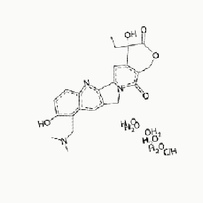 CC[C@@]1(O)C(=O)OCc2c1cc1n(c2=O)Cc2cc3c(CN(C)C)c(O)ccc3nc2-1.Cl.O.O.O.O.O